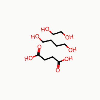 O=C(O)CCC(=O)O.OCCCCO.OCCO